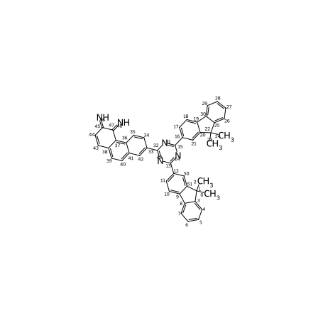 CC1(C)c2ccccc2-c2ccc(-c3nc(-c4ccc5c(c4)C(C)(C)c4ccccc4-5)nc(-c4ccc5c6c(ccc5c4)C=CC(=N)C6=N)n3)cc21